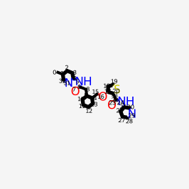 Cc1ccc(NC(=O)Cc2ccccc2COc2ccsc2C(=O)Nc2cccnc2)nc1